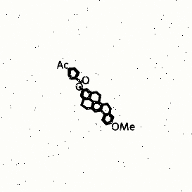 COc1ccc2c(c1)CCc1c-2cc2c3c1CCc1cc(OC(=O)c4ccc(C(C)=O)cc4)cc(c1-3)CC2